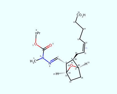 CCCOC(=O)N(C)N=C[C@@H]1[C@@H](C/C=C\CCCC(=O)O)[C@H]2CC[C@@H]1O2